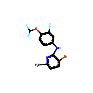 Fc1cc(Nc2nc(C(F)(F)F)ccc2Br)ccc1OC(F)F